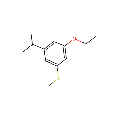 CCOc1cc(SC)cc([C](C)C)c1